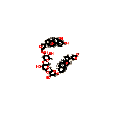 C[C@H]1O[C@@H](O[C@H]2[C@@H](O)C[C@H](O[C@H]3[C@@H](O)C[C@H](O[C@H]4CC[C@@]5(C)[C@H](CC[C@@H]6[C@@H]5CC[C@]5(C)[C@@H](C7=CC(=O)OC7)CC[C@]65O)C4)O[C@@H]3C)O[C@@H]2C)C[C@H](O)[C@@H]1O.C[C@]12CC[C@H](O)C[C@@]1(O)CC[C@@H]1[C@@H]2CC[C@]2(C)[C@@H](C3=CC(=O)OC3)CC[C@]12O